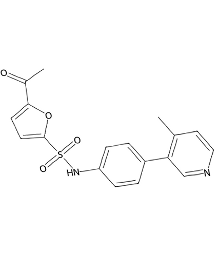 CC(=O)c1ccc(S(=O)(=O)Nc2ccc(-c3cnccc3C)cc2)o1